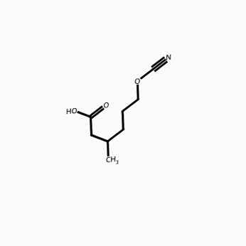 CC(CCCOC#N)CC(=O)O